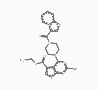 CCOC(=O)c1csc2nc(N)nc(N3CCN(C(=O)c4cnc5ccccn45)CC3)c12